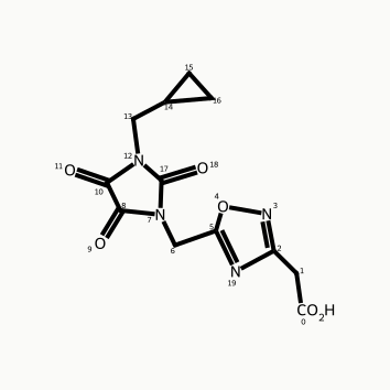 O=C(O)Cc1noc(CN2C(=O)C(=O)N(CC3CC3)C2=O)n1